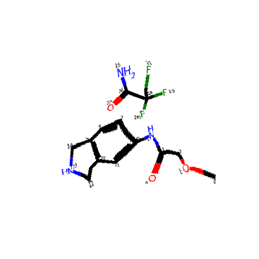 COCC(=O)Nc1ccc2c(c1)CNC2.NC(=O)C(F)(F)F